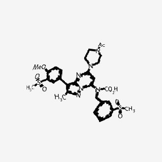 COc1ccc(-c2c(C)nn3c(N(Cc4cccc(S(C)(=O)=O)c4)C(=O)O)cc(N4CCN(C(C)=O)CC4)nc23)cc1S(C)(=O)=O